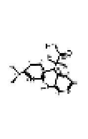 CN(C)c1ccc2c(n1)Oc1ccccc1[C@@H]2C(C)(C)C(=O)O